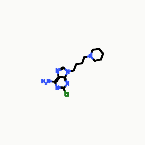 Nc1nc(Cl)nc2c1ncn2CCCCN1CCCCC1